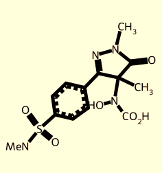 CNS(=O)(=O)c1ccc(C2=NN(C)C(=O)C2(C)N(O)C(=O)O)cc1